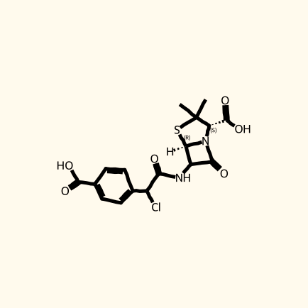 CC1(C)S[C@@H]2C(NC(=O)C(Cl)c3ccc(C(=O)O)cc3)C(=O)N2[C@H]1C(=O)O